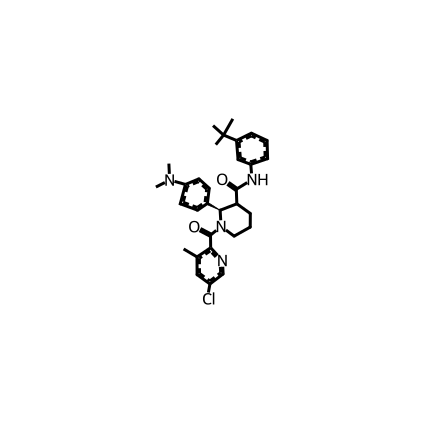 Cc1cc(Cl)cnc1C(=O)N1CCCC(C(=O)Nc2cccc(C(C)(C)C)c2)[C@@H]1c1ccc(N(C)C)cc1